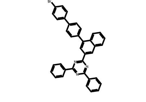 Brc1ccc(-c2ccc(-c3cc(-c4nc(-c5ccccc5)nc(-c5ccccc5)n4)cc4ccccc34)cc2)cc1